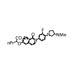 CCCC(Oc1ccc2c(=O)n(-c3ccc(N4CCC(NC)C4)c(F)c3)ccc2c1)C(=O)OCC